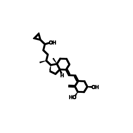 C=C1/C(=C\C=C2/CCC[C@]3(C)[C@@H]([C@H](C)CCC(O)C4CC4)CC[C@@H]23)C[C@@H](O)C[C@@H]1O